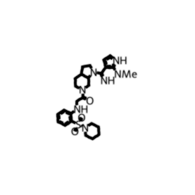 CNc1[nH]ccc1C(=N)N1CCC2CCN(C(=O)CNc3ccccc3S(=O)(=O)N3CCCCC3)CC21